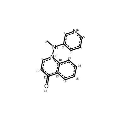 CN(c1cccnc1)n1ccc(=O)c2ccccc21